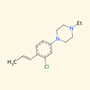 [CH2]CN1CCN(c2ccc(/C=C/C)c(Cl)c2)CC1